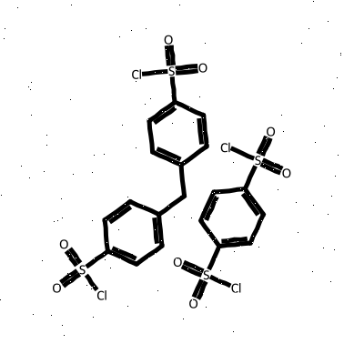 O=S(=O)(Cl)c1ccc(Cc2ccc(S(=O)(=O)Cl)cc2)cc1.O=S(=O)(Cl)c1ccc(S(=O)(=O)Cl)cc1